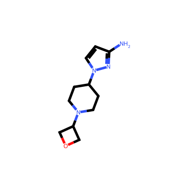 Nc1ccn(C2CCN(C3COC3)CC2)n1